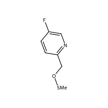 CSOCc1ccc(F)cn1